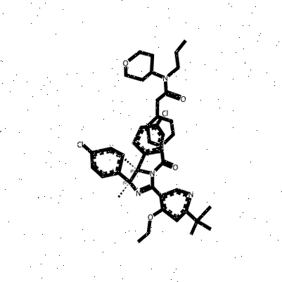 CCCN(C(=O)CC1CCN(C(=O)N2C(c3cnc(C(C)(C)C)cc3OCC)=N[C@@](C)(c3ccc(Cl)cc3)[C@@]2(C)c2ccc(Cl)cc2)CC1)C1CCOCC1